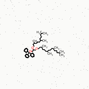 CC(C)CCCC(C)CCCC(C)CCOC(COCCC(C)CCC[C@H](C)CCC[C@H](C)CCCC(C)C)COC(c1ccccc1)(c1ccccc1)c1ccccc1